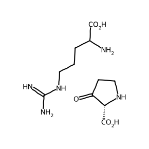 N=C(N)NCCCC(N)C(=O)O.O=C(O)[C@H]1NCCC1=O